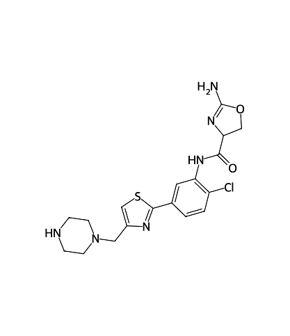 NC1=NC(C(=O)Nc2cc(-c3nc(CN4CCNCC4)cs3)ccc2Cl)CO1